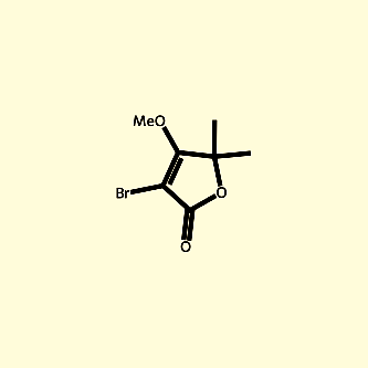 COC1=C(Br)C(=O)OC1(C)C